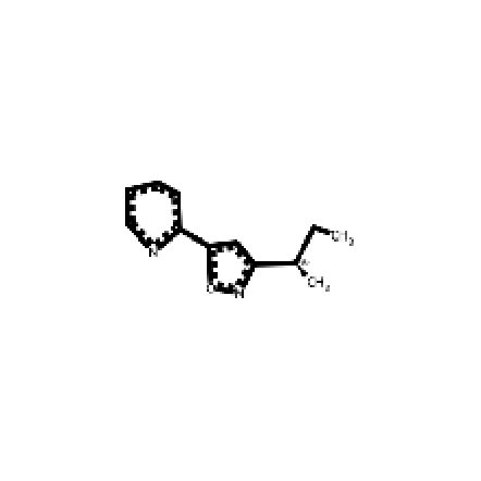 CC[C@@H](C)c1cc(-c2ccccn2)on1